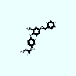 CC(C)(C)OC(=O)Nc1ccc(Sc2ccc(OCc3ccccc3)cc2N)cc1